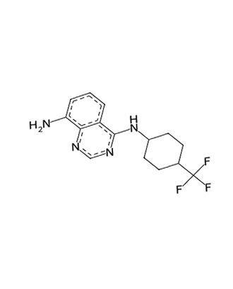 Nc1cccc2c(NC3CCC(C(F)(F)F)CC3)ncnc12